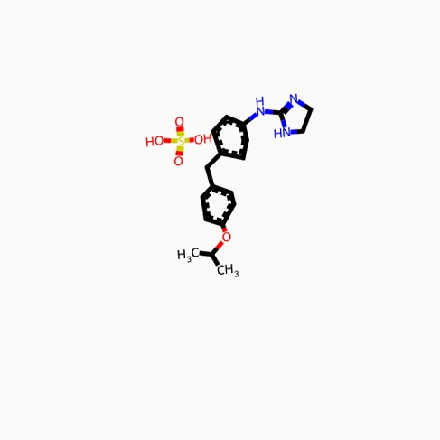 CC(C)Oc1ccc(Cc2ccc(NC3=NCCN3)cc2)cc1.O=S(=O)(O)O